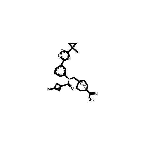 CC1(c2nc(-c3cccc(N(CC45CCC(C(N)=O)(CC4)CC5)C(=O)C45CC(F)(C4)C5)c3)no2)CC1